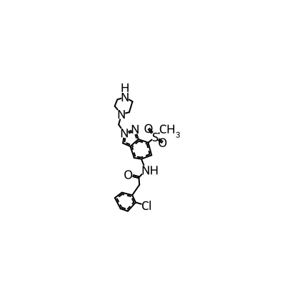 CS(=O)(=O)c1cc(NC(=O)Cc2ccccc2Cl)cc2cn(CN3CCNCC3)nc12